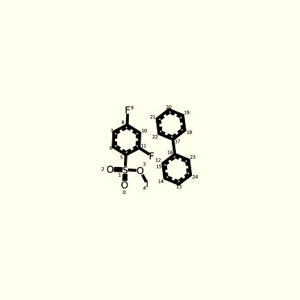 O=S(=O)(OI)c1ccc(F)cc1F.c1ccc(-c2ccccc2)cc1